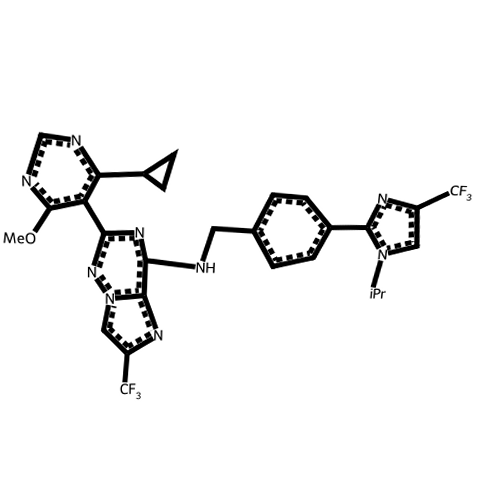 COc1ncnc(C2CC2)c1-c1nc(NCc2ccc(-c3nc(C(F)(F)F)cn3C(C)C)cc2)c2nc(C(F)(F)F)cn2n1